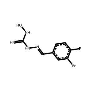 N=C(NO)NN=Cc1ccc(F)c(Br)c1